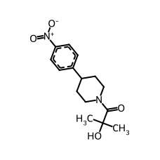 CC(C)(O)C(=O)N1CCC(c2ccc([N+](=O)[O-])cc2)CC1